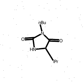 CCCCN1C(=O)NC(C(C)C)C1=O